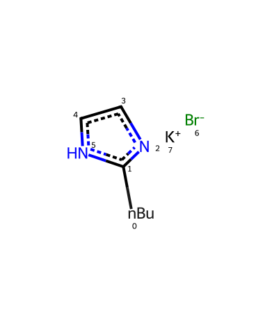 CCCCc1ncc[nH]1.[Br-].[K+]